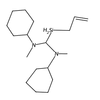 C=CC[SiH2]C(N(C)C1CCCCC1)N(C)C1CCCCC1